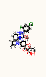 CCC(Oc1ccc(N(CC(C)C)C2CCCCC2)c(NC(=O)Nc2ccc(Cl)cc2F)c1)C(=O)O